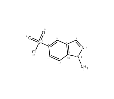 Cn1ncc2cc(S(=O)(=O)Cl)ccc21